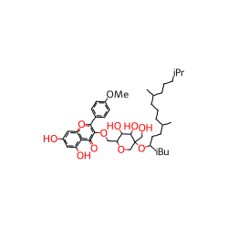 CCC(C)C(CCC(C)CCCC(C)CCCC(C)C)OC1(CO)COC(COc2c(-c3ccc(OC)cc3)oc3cc(O)cc(O)c3c2=O)C(O)C1O